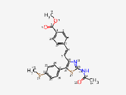 COC(=O)c1ccc(/C=C/c2nc(NC(C)=O)sc2-c2ccc(SC)cc2)cc1